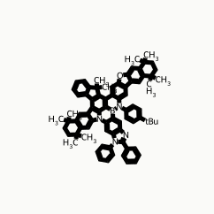 CC(C)(C)c1ccc(N2B3c4cc5nc(-c6ccccc6)n(-c6ccccc6)c5cc4-n4c5cc6c(cc5c5c7c(c(c3c54)-c3cc4oc5cc8c(cc5c4cc32)C(C)(C)CCC8(C)C)C(C)(C)c2ccccc2-7)C(C)(C)CCC6(C)C)cc1